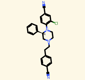 N#Cc1ccc(CCN2CCN(c3ccc(C#N)cc3Cl)[C@H](c3ccccc3)C2)cc1